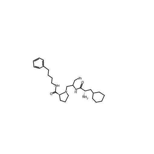 CC(C)CC(CN1CCC[C@H]1C(=O)NCCCCc1ccccc1)NC(=O)[C@@H](N)CC1CCCCC1